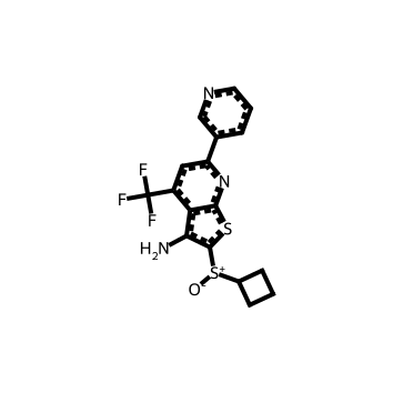 Nc1c([S+]([O-])C2CCC2)sc2nc(-c3cccnc3)cc(C(F)(F)F)c12